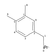 C[C](C)Cc1ccc(C)c(C)c1